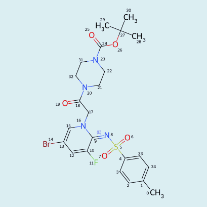 Cc1ccc(S(=O)(=O)/N=c2\c(F)cc(Br)cn2CC(=O)N2CCN(C(=O)OC(C)(C)C)CC2)cc1